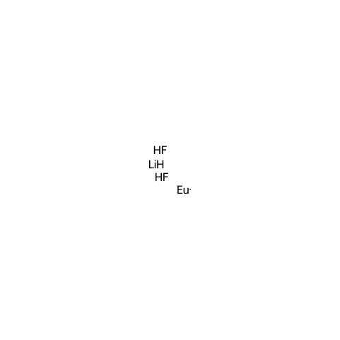 F.F.[Eu].[LiH]